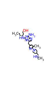 CCC[C@@H](CCO)Nc1nc(N)c2ncc(Cc3cnc(N4CCC(CNC)CC4)c(C)c3)n2n1